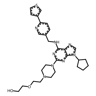 OCCOCCN1CCN(c2nc(NCc3ccc(-c4ccsc4)nc3)c3ncn(C4CCCC4)c3n2)CC1